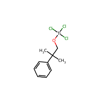 CC(C)(C[O][Ti]([Cl])([Cl])[Cl])c1ccccc1